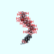 C[C@@H]1CC[C@@]2(OC1)O[C@H]1C[C@H]3[C@@H]4CC[C@H]5C[C@@H](O[C@@H]6O[C@H](CO)[C@H](O[C@@H]7O[C@H](CO)[C@@H](O)[C@H](O)[C@H]7O[C@@H]7O[C@H](CO)[C@@H](O)[C@H](O[C@@H]8O[C@H](CO)[C@@H](O)[C@H](O[C@@H]9O[C@H](CO)[C@@H](O[C@@H]%10O[C@@H](C)[C@H](O)[C@@H](O)[C@H]%10O)[C@H](O)[C@H]9O)[C@H]8O)[C@H]7O)[C@H](O)[C@H]6O)CC[C@]5(C)[C@H]4CC[C@]3(C)[C@H]1[C@@H]2C